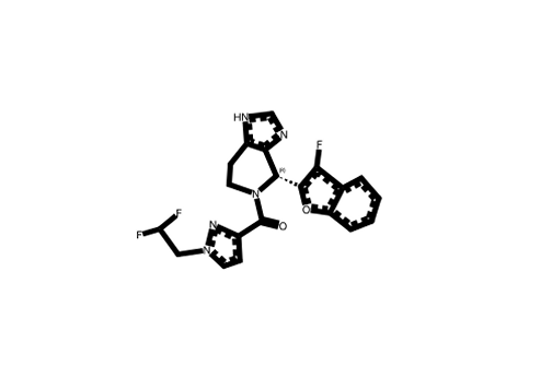 O=C(c1ccn(CC(F)F)n1)N1CCc2[nH]cnc2[C@@H]1c1oc2ccccc2c1F